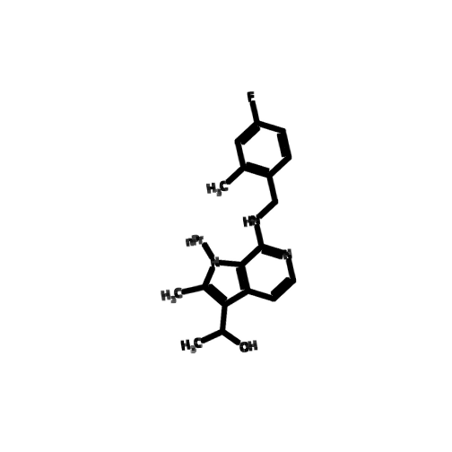 CCCn1c(C)c(C(C)O)c2ccnc(NCc3ccc(F)cc3C)c21